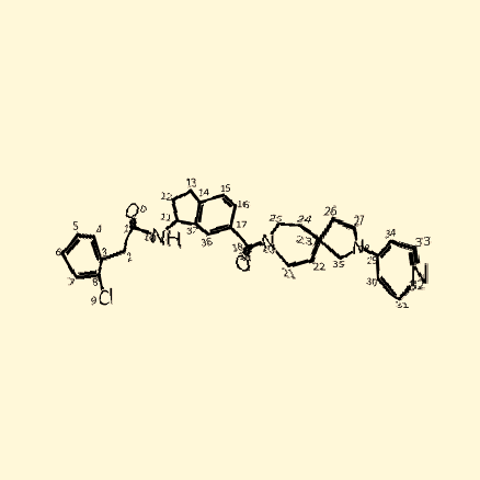 O=C(Cc1ccccc1Cl)NC1CCc2ccc(C(=O)N3CCC4(CC3)CCN(c3ccncc3)C4)cc21